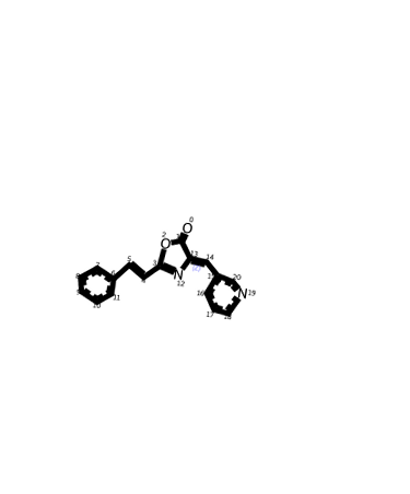 O=C1OC(C=Cc2ccccc2)=N/C1=C\c1cccnc1